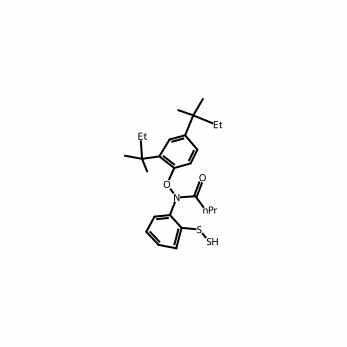 CCCC(=O)N(Oc1ccc(C(C)(C)CC)cc1C(C)(C)CC)c1ccccc1SS